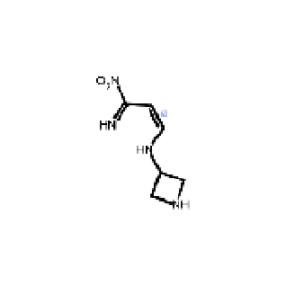 N=C(/C=C\NC1CNC1)[N+](=O)[O-]